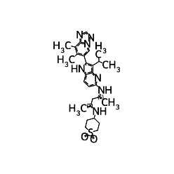 Cc1c(-c2[nH]c3ccc(N[C@@H](C)C[C@H](C)NC4CCS(=O)(=O)CC4)nc3c2C(C)C)cn2ncnc2c1C